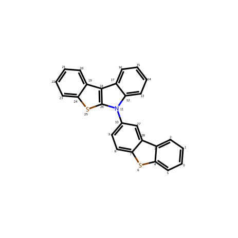 c1ccc2c(c1)sc1ccc(-n3c4ccccc4c4c5ccccc5sc43)cc12